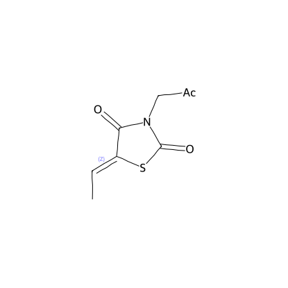 C/C=C1\SC(=O)N(CC(C)=O)C1=O